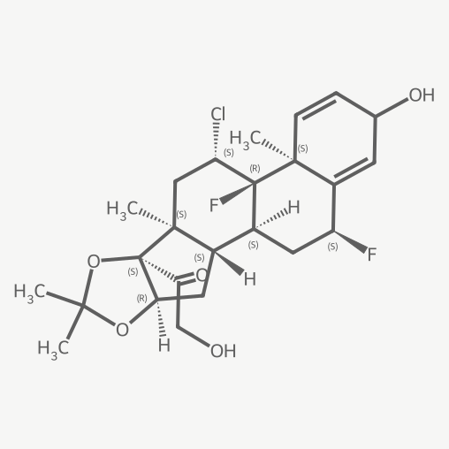 CC1(C)O[C@@H]2C[C@H]3[C@@H]4C[C@H](F)C5=CC(O)C=C[C@]5(C)[C@@]4(F)[C@@H](Cl)C[C@]3(C)[C@]2(C(=O)CO)O1